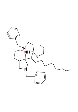 CCCCCCCCC(C12CN(Cc3ccccc3)CC1CCCN2)C12CN(Cc3ccccc3)CC1CCCN2